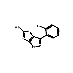 Nc1nc2[nH]nc(-c3ccccc3Cl)c2s1